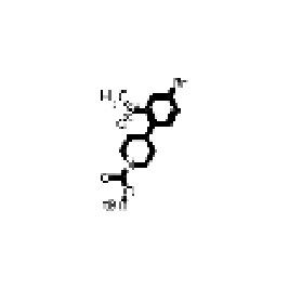 C[S+]([O-])c1cc(Br)ccc1C1CCN(C(=O)OC(C)(C)C)CC1